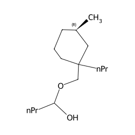 CCCC(O)OCC1(CCC)CCC[C@@H](C)C1